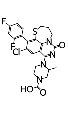 CC1CN(C(=O)O)CCN1c1nc(=O)n2c3c(c(-c4ccc(F)cc4F)c(Cl)cc13)SCCC2